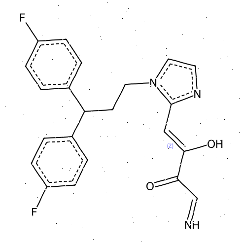 N=CC(=O)/C(O)=C/c1nccn1CCC(c1ccc(F)cc1)c1ccc(F)cc1